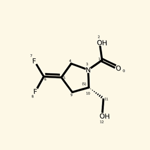 O=C(O)N1CC(=C(F)F)C[C@H]1CO